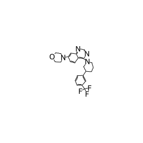 FC(F)(F)c1cccc(C2CCCN(c3ncnc4cc(N5CCOCC5)ccc34)C2)c1